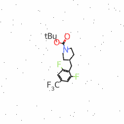 CC(C)(C)OC(=O)N1CCC(Cc2c(F)cc(C(F)(F)F)cc2F)CC1